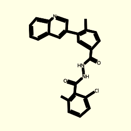 Cc1ccc(C(=O)NNC(=O)c2c(C)cccc2Cl)cc1-c1cnc2ccccc2c1